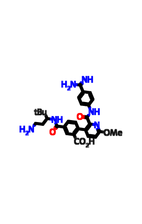 COc1ccc(-c2ccc(C(=O)NC(CCN)C(C)(C)C)cc2C(=O)O)c(C(=O)Nc2ccc(C(=N)N)cc2)n1